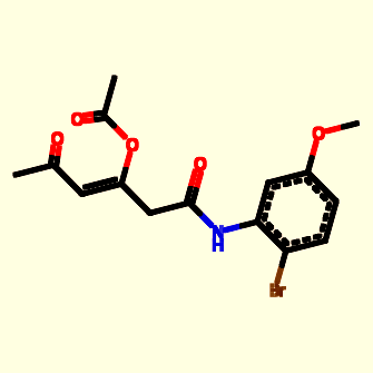 COc1ccc(Br)c(NC(=O)C/C(=C/C(C)=O)OC(C)=O)c1